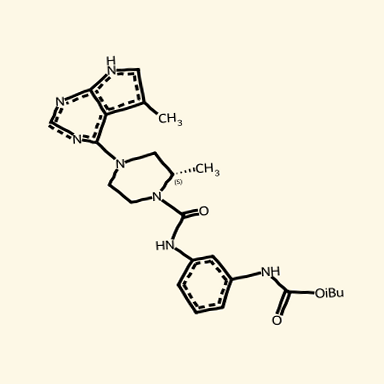 Cc1c[nH]c2ncnc(N3CCN(C(=O)Nc4cccc(NC(=O)OCC(C)C)c4)[C@@H](C)C3)c12